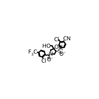 N#Cc1ccc([S+]([O-])[C@H]2CN([S+]([O-])c3ccc(C(F)(F)F)cc3Cl)CC2(O)CO)cc1Cl